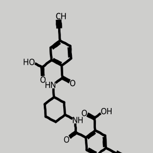 C#Cc1ccc(C(=O)NC2CCCC(NC(=O)c3ccc(C#C)cc3C(=O)O)C2)c(C(=O)O)c1